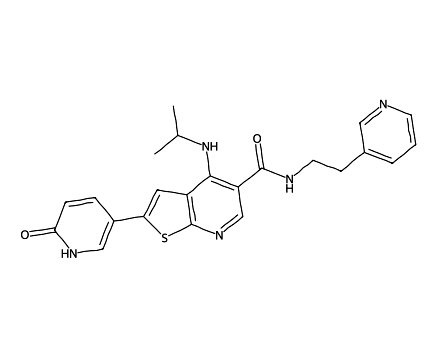 CC(C)Nc1c(C(=O)NCCc2cccnc2)cnc2sc(-c3ccc(=O)[nH]c3)cc12